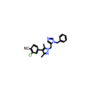 Cc1nn(Cc2cncn2Cc2ccccc2)c(C)c1-c1ccc(C#N)c(Cl)c1